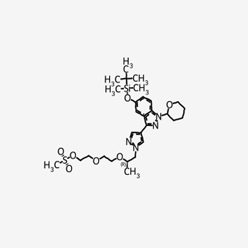 C[C@H](Cn1cc(-c2nn(C3CCCCO3)c3ccc(O[Si](C)(C)C(C)(C)C)cc23)cn1)OCCOCCOS(C)(=O)=O